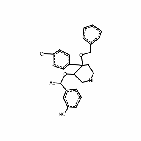 CC(=O)C(OC1CNCCC1(OCc1ccccc1)c1ccc(Cl)cc1)c1cccc(C#N)c1